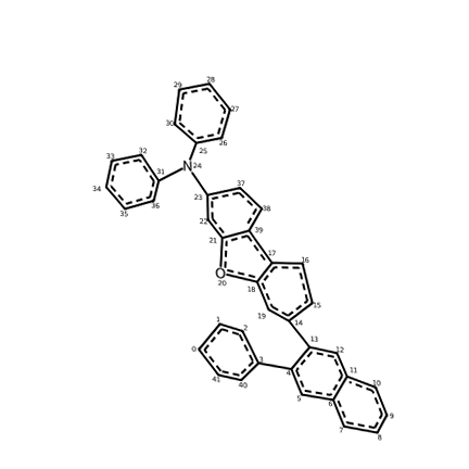 c1ccc(-c2cc3ccccc3cc2-c2ccc3c(c2)oc2cc(N(c4ccccc4)c4ccccc4)ccc23)cc1